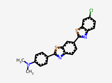 CN(C)c1ccc(-c2nc3ccc(-c4nc5ccc(Cl)cc5s4)cc3s2)cc1